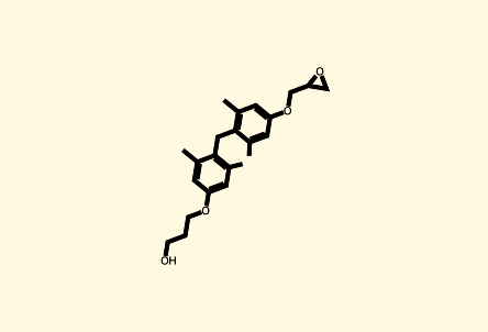 Cc1cc(OCCCO)cc(C)c1Cc1c(C)cc(OCC2CO2)cc1C